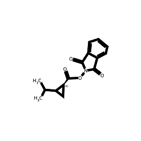 CC(C)C1C[C@@H]1C(=O)ON1C(=O)c2ccccc2C1=O